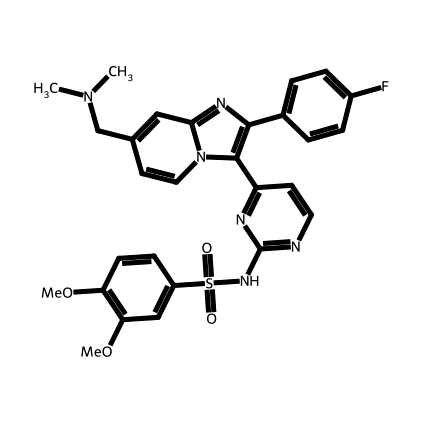 COc1ccc(S(=O)(=O)Nc2nccc(-c3c(-c4ccc(F)cc4)nc4cc(CN(C)C)ccn34)n2)cc1OC